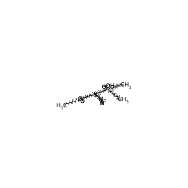 CCCCCCCCCOC(=O)CCCCCCCN(CCCCCCC(C(=O)O)C(CCCCCCCC)CCCCCCCC)CCCN=[N+]=[N-]